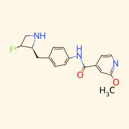 COc1cc(C(=O)Nc2ccc(C[C@@H]3NC[C@@H]3F)cc2)ccn1